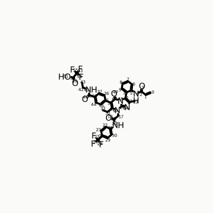 C=CC(=O)Nc1ccccc1-c1c(C)nc2n(CC(=O)Nc3ccc(C(F)(F)F)cc3)c(CC)c(-c3ccc(C(=O)NCC)cc3)c(=O)n12.O=C(O)C(F)(F)F